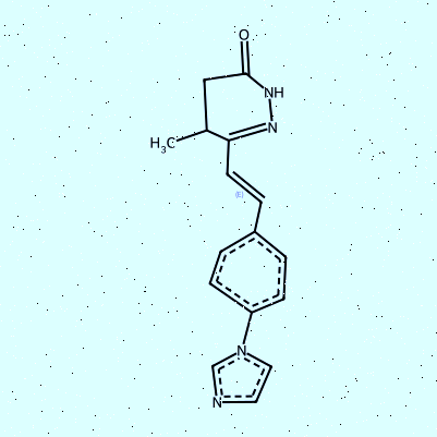 CC1CC(=O)NN=C1/C=C/c1ccc(-n2ccnc2)cc1